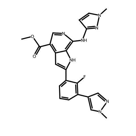 COC(=O)c1cnc(Nc2ccn(C)n2)c2[nH]c(-c3cccc(-c4cnn(C)c4)c3F)cc12